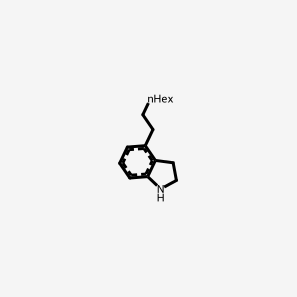 CCCCCCCCc1cccc2c1CCN2